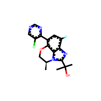 C[C@H]1COc2c(-c3ncncc3Cl)cc(F)c3nc(C(C)(C)O)n1c23